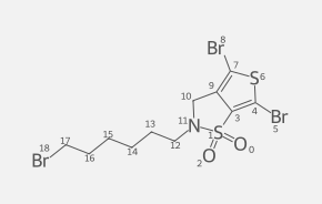 O=S1(=O)c2c(Br)sc(Br)c2CN1CCCCCCBr